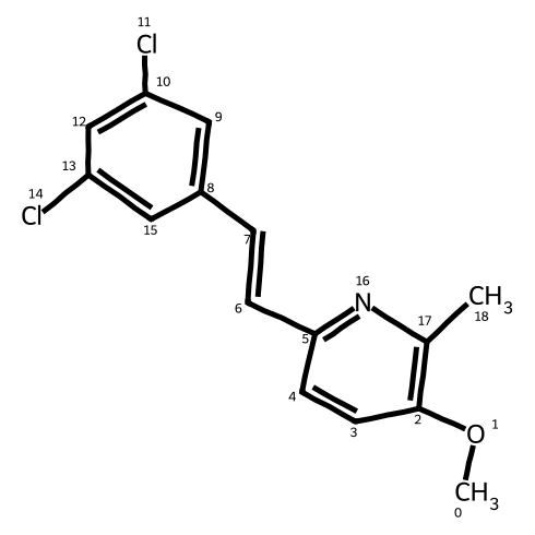 COc1ccc(C=Cc2cc(Cl)cc(Cl)c2)nc1C